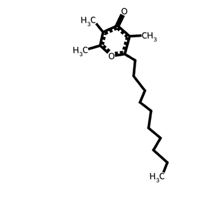 CCCCCCCCCCc1oc(C)c(C)c(=O)c1C